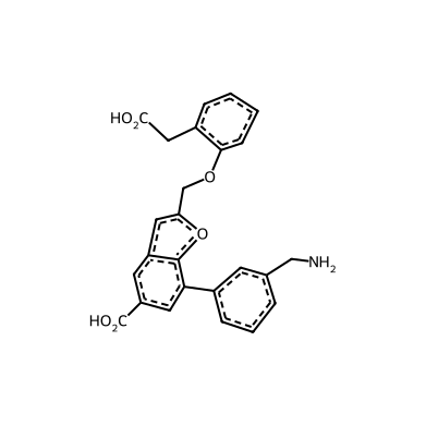 NCc1cccc(-c2cc(C(=O)O)cc3cc(COc4ccccc4CC(=O)O)oc23)c1